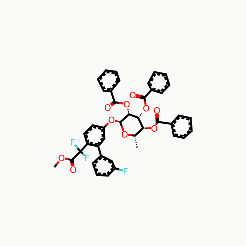 COC(=O)C(F)(F)c1ccc(O[C@@H]2O[C@@H](C)[C@H](OC(=O)c3ccccc3)[C@@H](OC(=O)c3ccccc3)[C@H]2OC(=O)c2ccccc2)cc1-c1cccc(F)c1